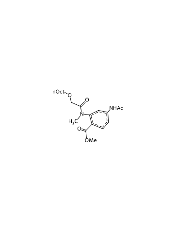 CCCCCCCCOCC(=O)N(C)c1cc(NC(C)=O)ccc1C(=O)OC